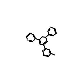 Ic1ccnc(C2=CC(c3cccnc3)CC(c3cccnc3)=C2)c1